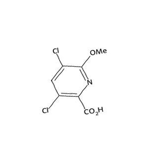 COc1nc(C(=O)O)c(Cl)cc1Cl